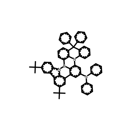 CC(C)(C)c1ccc2c(c1)c1cc(C(C)(C)C)cc3c1n2B1c2cccc4c2N(c2ccccc2C4(c2ccccc2)c2ccccc2)c2cc(N(c4ccccc4)c4ccccc4)cc-3c21